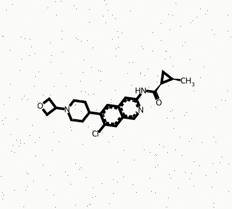 C[C@@H]1C[C@@H]1C(=O)Nc1cc2cc(C3CCN(C4COC4)CC3)c(Cl)cc2cn1